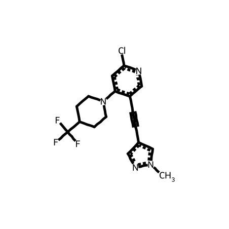 Cn1cc(C#Cc2cnc(Cl)cc2N2CCC(C(F)(F)F)CC2)cn1